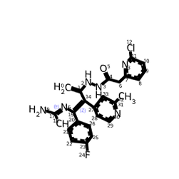 C=C(NNC(=O)Cc1cccc(Cl)n1)/C(=C(\N=C(/C)N)c1ccc(F)cc1)c1ccnc(C)c1